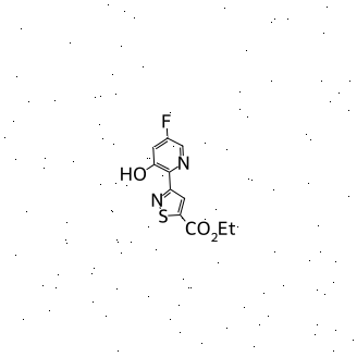 CCOC(=O)c1cc(-c2ncc(F)cc2O)ns1